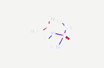 CCNP(N)(=O)NCC.N#COS(=O)(=O)O